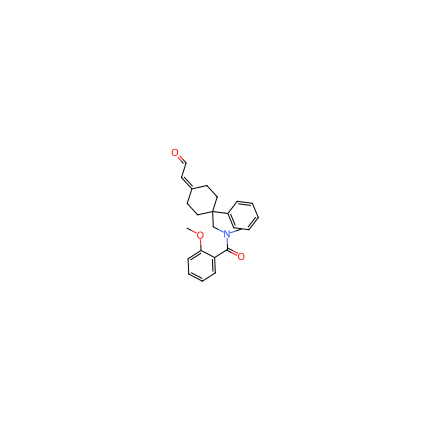 COc1ccccc1C(=O)N(C)CC1(c2ccccc2)CCC(=CC=O)CC1